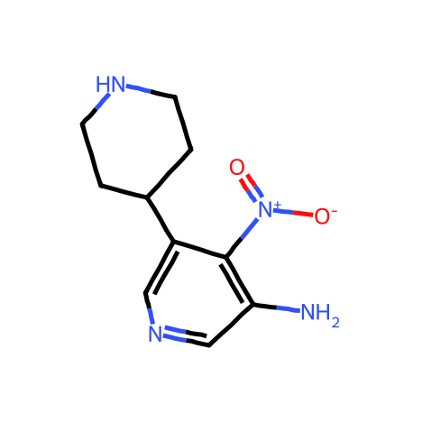 Nc1cncc(C2CCNCC2)c1[N+](=O)[O-]